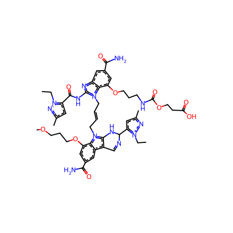 CCn1nc(C)cc1C(=O)Nc1nc2cc(C(N)=O)cc(OCCCNC(=O)OCCC(=O)O)c2n1C/C=C/Cn1c2c(c3cc(C(N)=O)cc(OCCCOC)c31)C=NC(c1cc(C)nn1CC)N2